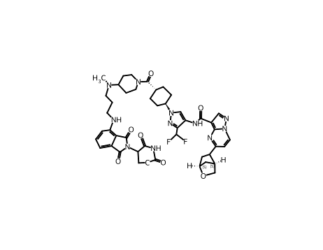 CN(CCCNc1cccc2c1C(=O)N(C1CCC(=O)NC1=O)C2=O)C1CCN(C(=O)[C@H]2CC[C@H](n3cc(NC(=O)c4cnn5ccc(C6C[C@H]7C[C@@H]6CO7)nc45)c(C(F)F)n3)CC2)CC1